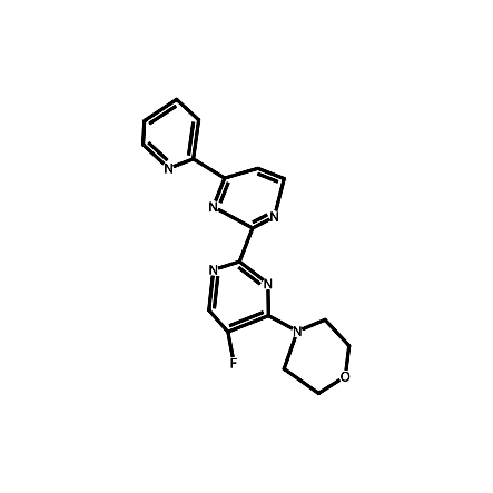 Fc1cnc(-c2nccc(-c3ccccn3)n2)nc1N1CCOCC1